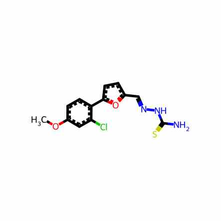 COc1ccc(-c2ccc(C=NNC(N)=S)o2)c(Cl)c1